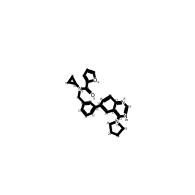 O=C(c1ccco1)N(Cc1cccc(-c2ccc3ncnc(N4CCCC4)c3c2)c1)C1CC1